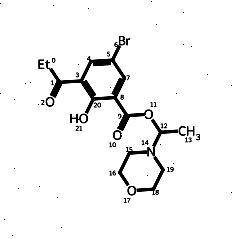 CCC(=O)c1cc(Br)cc(C(=O)OC(C)N2CCOCC2)c1O